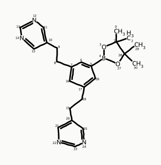 CC1(C)OB(c2cc(CCc3cncnc3)cc(CCc3cncnc3)c2)OC1(C)C